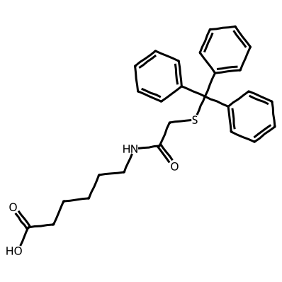 O=C(O)CCCCCNC(=O)CSC(c1ccccc1)(c1ccccc1)c1ccccc1